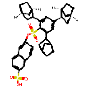 O=S(=O)(O)c1ccc2cc(OS(=O)(=O)c3c(C4CC5CCC4C5)cc([C@@H]4C[C@@H]5CC[C@H]4C5)cc3C3C[C@H]4CC[C@@H]3C4)ccc2c1